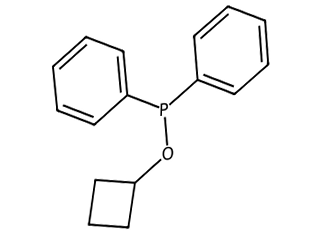 c1ccc(P(OC2CCC2)c2ccccc2)cc1